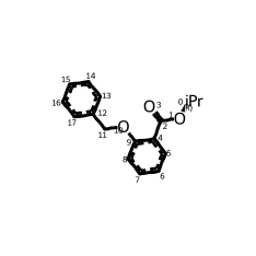 [CH2][C@H](C)OC(=O)c1ccccc1OCc1ccccc1